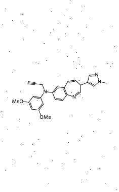 C#CCN(c1cc(OC)cc(OC)c1)c1ccc2c(c1)C=CC(c1cnn(C)c1)C=N2